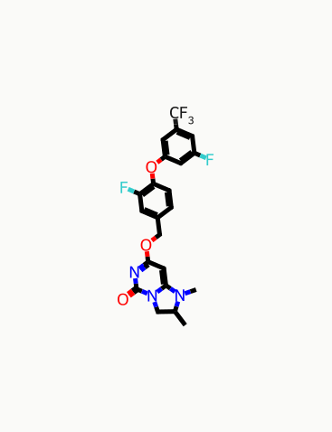 CC1Cn2c(cc(OCc3ccc(Oc4cc(F)cc(C(F)(F)F)c4)c(F)c3)nc2=O)N1C